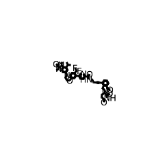 CC(C)c1cc(N2CCOc3cc(-c4ccc(C(=O)NCCC#Cc5cccc6c5CN(C5CCC(=O)NC5=O)C6=O)nc4)c(C(F)F)cc32)cc2c1n(C)c(=O)n2C